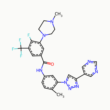 Cc1ccc(NC(=O)c2cc(N3CCN(C)CC3)c(F)c(C(F)(F)F)c2)cc1-n1cc(-c2cncnc2)nn1